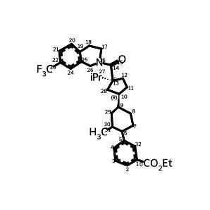 CCOC(=O)c1cccc(C2CCC([C@@H]3CC[C@@](C(=O)N4CCc5ccc(C(F)(F)F)cc5C4)(C(C)C)C3)CC2C)c1